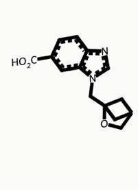 O=C(O)c1ccc2ncn(CC34CC(CO3)C4)c2c1